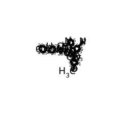 CCOc1ncccc1C1(NC(=O)N2CC(N3CCC(N4CCOCC4)CC3)C2)C(=O)N(S(=O)(=O)c2ccc(OC)cc2F)c2ccc(C#N)cc21